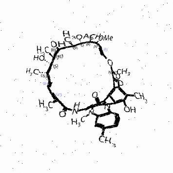 CO[C@H]1/C=C/O[C@@]2(C)Oc3c(C)c(O)c4c(=O)c(c5n(C)c6cc(C)ccc6nc-5c4c3C2=O)NC(=O)/C(C)=C\C=C\[C@H](C)[C@H](O)[C@@H](C)[C@@H](O)[C@@H](C)[C@H](OC(C)=O)[C@@H]1C